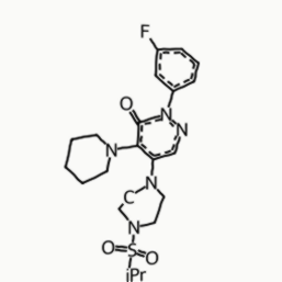 CC(C)S(=O)(=O)N1CCN(c2cnn(-c3cccc(F)c3)c(=O)c2N2CCCCC2)CC1